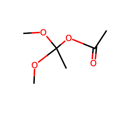 COC(C)(OC)OC(C)=O